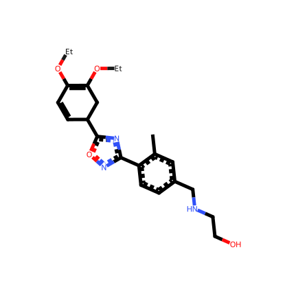 CCOC1=C(OCC)CC(c2nc(-c3ccc(CNCCO)cc3C)no2)C=C1